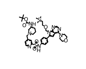 CC(C)(C)OC(=O)N[C@@H]1CCCN(Cc2ccnc(S(=O)(=O)Nc3ccc(-c4cc5c(N6CCOCC6)ncnc5n4COCC[Si](C)(C)C)cc3)c2)C1